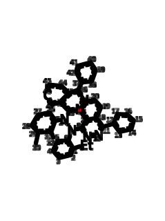 CCc1ccccc1N(c1nnc(-c2ccccc2)c2ccccc12)N(c1cccc(C)c1C)c1nnc(-c2ccccc2)c2ccccc12